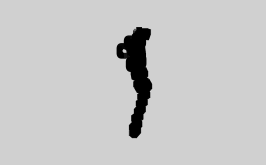 CCCCCCCCCCCCc1ccc(-c2ccc(C(=O)Oc3ccc(C(=O)OC[C@@H](C)CC)c(Cl)c3)cc2)cc1